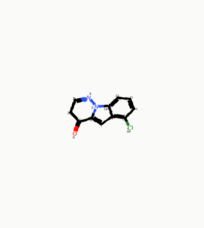 O=C1CC=Nn2c1cc1c(Cl)cccc12